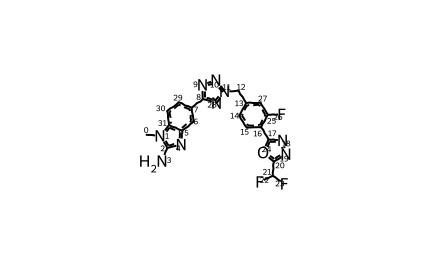 Cn1c(N)nc2cc(-c3nnn(Cc4ccc(-c5nnc(C(F)F)o5)c(F)c4)n3)ccc21